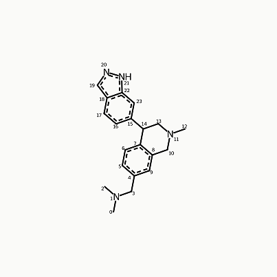 CN(C)Cc1ccc2c(c1)CN(C)CC2c1ccc2cn[nH]c2c1